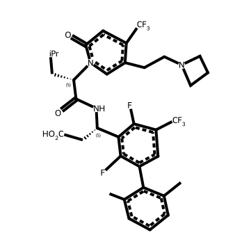 Cc1cccc(C)c1-c1cc(C(F)(F)F)c(F)c([C@H](CC(=O)O)NC(=O)[C@H](CC(C)C)n2cc(CCN3CCC3)c(C(F)(F)F)cc2=O)c1F